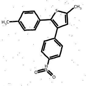 Cc1ccc(-c2sc(C)cc2-c2ccc([SH](=O)=O)cc2)cc1